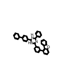 c1ccc(-c2ccc(C3NC(c4cccc(-c5cccc6oc7ccccc7c56)c4)=NC(c4ccccc4)N3)cc2)cc1